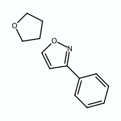 C1CCOC1.c1ccc(-c2ccon2)cc1